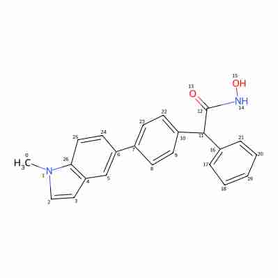 Cn1ccc2cc(-c3ccc(C(C(=O)NO)c4ccccc4)cc3)ccc21